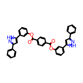 O=C(Oc1cccc(-c2cc(-c3ccccc3)n[nH]2)c1)c1ccc(C(=O)Oc2cccc(-c3cc(-c4ccccc4)n[nH]3)c2)cc1